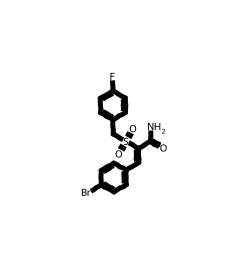 NC(=O)/C(=C/c1ccc(Br)cc1)S(=O)(=O)Cc1ccc(F)cc1